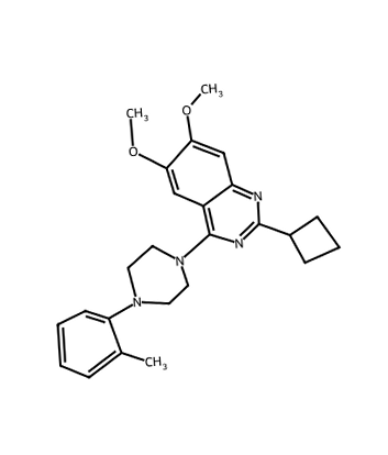 COc1cc2nc(C3CCC3)nc(N3CCN(c4ccccc4C)CC3)c2cc1OC